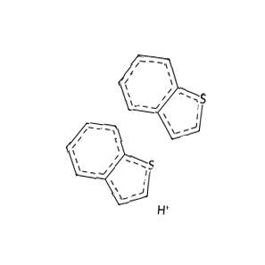 [H+].c1ccc2sccc2c1.c1ccc2sccc2c1